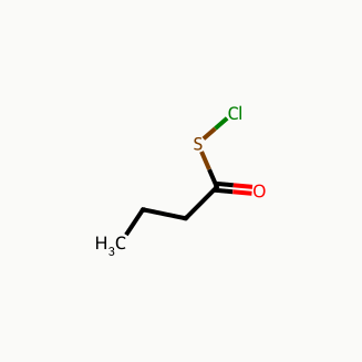 CCCC(=O)SCl